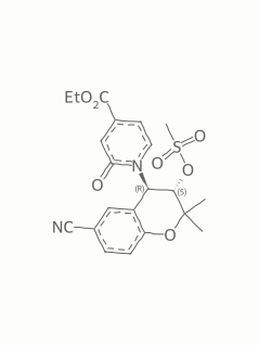 CCOC(=O)c1ccn([C@@H]2c3cc(C#N)ccc3OC(C)(C)[C@H]2OS(C)(=O)=O)c(=O)c1